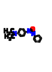 CN(C)c1ccc(-n2on2-c2ccccc2)cc1